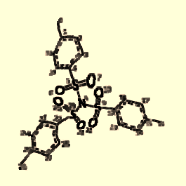 Cc1ccc(S(=O)(=O)N(S(=O)(=O)c2ccc(C)cc2)S(=O)(=O)c2ccc(C)cc2)cc1